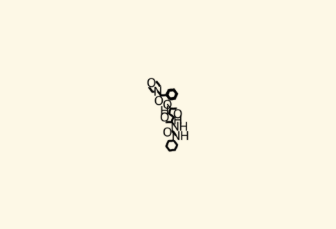 O=C(NC1CCCCC1)N[C@H]1CO[C@H]2[C@@H]1OC[C@@H]2Oc1ccccc1C(=O)N1CCOCC1